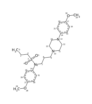 CCCS(=O)(=O)N(CCCN1CCN(c2ccc(OC)cc2)CC1)c1ccc(OC)cc1